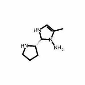 CC1=CNC([C@@H]2CCCN2)N1N